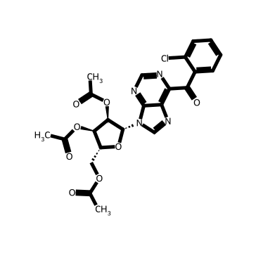 CC(=O)OC[C@H]1O[C@@H](n2cnc3c(C(=O)c4ccccc4Cl)ncnc32)[C@H](OC(C)=O)[C@@H]1OC(C)=O